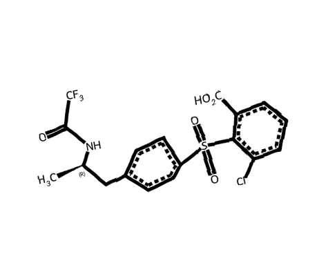 C[C@H](Cc1ccc(S(=O)(=O)c2c(Cl)cccc2C(=O)O)cc1)NC(=O)C(F)(F)F